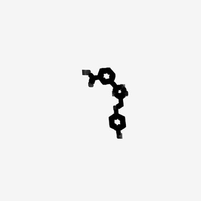 O=C(O)c1cccc(-c2noc(COc3ccc(Cl)cc3)n2)c1